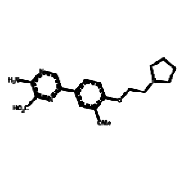 COc1cc(-c2cnc(N)c(C(=O)O)n2)ccc1OCCN1CCCC1